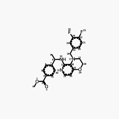 COC(=O)c1ccc(C(C)Nc2nccc3c2N(Cc2ccc(F)c(F)c2)CCO3)cc1